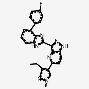 CCc1nn(C)cc1-c1ccc2[nH]nc(-c3nc4c(-c5ccc(F)cc5)cccc4[nH]3)c2n1